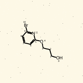 OCCCOc1cccc(Br)n1